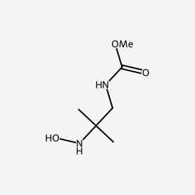 COC(=O)NCC(C)(C)NO